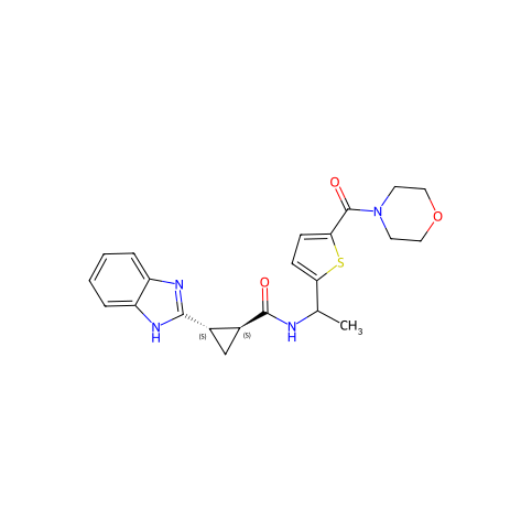 CC(NC(=O)[C@H]1C[C@@H]1c1nc2ccccc2[nH]1)c1ccc(C(=O)N2CCOCC2)s1